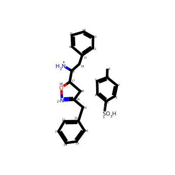 Cc1ccc(S(=O)(=O)O)cc1.NC(Cc1ccccc1)C1CC(Cc2ccccc2)=NO1